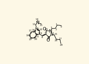 CCCCN1C(=O)C(=Cc2cn(CN(C)C)c3ccccc23)C(=O)N1CCCC